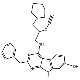 C#COC(CNc1nc(Cc2ccccc2)nc2[nH]c3cc(O)ccc3c12)CN1CCCCC1